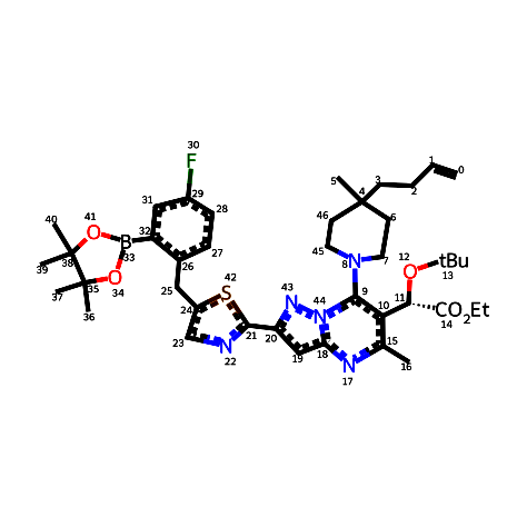 C=CCCC1(C)CCN(c2c([C@H](OC(C)(C)C)C(=O)OCC)c(C)nc3cc(-c4ncc(Cc5ccc(F)cc5B5OC(C)(C)C(C)(C)O5)s4)nn23)CC1